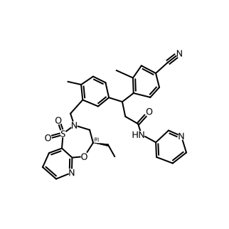 CC[C@@H]1CN(Cc2cc(C(CC(=O)Nc3cccnc3)c3ccc(C#N)cc3C)ccc2C)S(=O)(=O)c2cccnc2O1